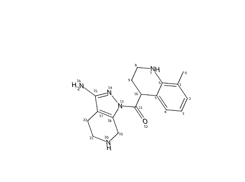 Cc1cccc2c1NCCC2C(=O)n1nc(N)c2c1CNCC2